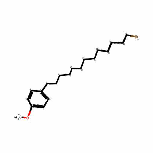 COc1ccc(CCCCCCCCCCCCCBr)cc1